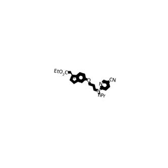 CCCN(CCCOc1ccc2c(c1)CC[C@H]2CC(=O)OCC)c1ccc(C#N)cn1